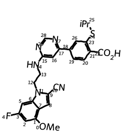 COc1cc(F)cc2c1cc(C#N)n2CCNc1cc(-c2ccc(C(=O)O)c(SC(C)C)c2)ncn1